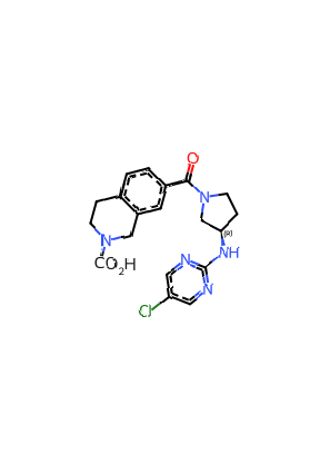 O=C(O)N1CCc2ccc(C(=O)N3CC[C@@H](Nc4ncc(Cl)cn4)C3)cc2C1